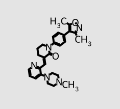 Cc1noc(C)c1-c1ccc(N2CCCC(=Cc3ncccc3N3CCN(C)CC3)C2=O)cc1